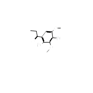 CCC(=O)c1cc(OC)c(Br)c(OC)c1Br